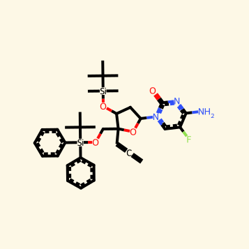 C=C=CC1(CO[Si](c2ccccc2)(c2ccccc2)C(C)(C)C)OC(n2cc(F)c(N)nc2=O)CC1O[Si](C)(C)C(C)(C)C